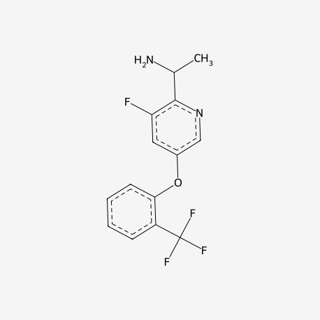 CC(N)c1ncc(Oc2ccccc2C(F)(F)F)cc1F